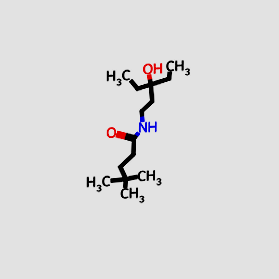 CCC(O)(CC)CCNC(=O)CCC(C)(C)C